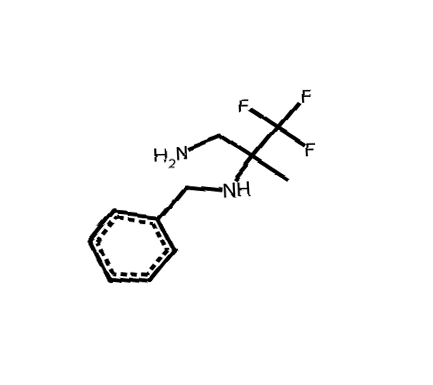 CC(CN)(NCc1ccccc1)C(F)(F)F